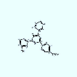 COc1ccc(-c2cc(-c3ccccn3)nc(-c3cccc(C#N)n3)c2)cc1